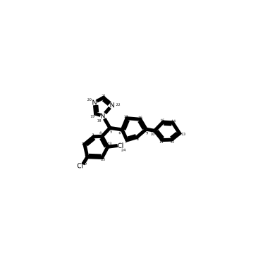 Clc1ccc(C(c2ccc(-c3ccccc3)cc2)n2cncn2)c(Cl)c1